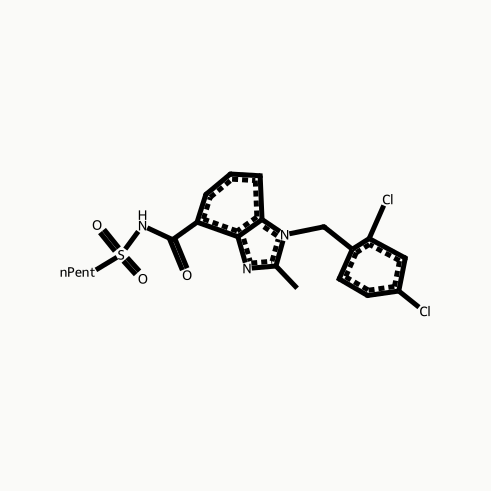 CCCCCS(=O)(=O)NC(=O)c1cccc2c1nc(C)n2Cc1ccc(Cl)cc1Cl